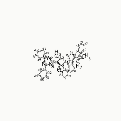 Cc1cc(-n2c3ccccc3c3c4c(ccc32)-c2ccccc2C4(C)C)c2c(oc3ccccc32)c1-c1nc(-c2ccccc2)nc(-c2ccccc2)n1